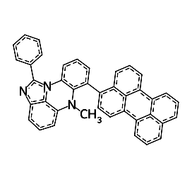 CN1c2c(-c3ccc4c5cccc6cccc(c7cccc3c74)c65)cccc2-n2c(-c3ccccc3)nc3cccc1c32